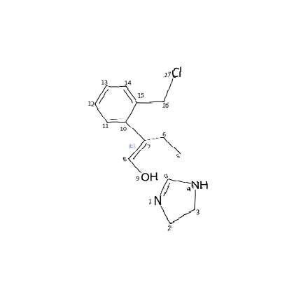 C1=NCCN1.CC/C(=C\O)c1ccccc1CCl